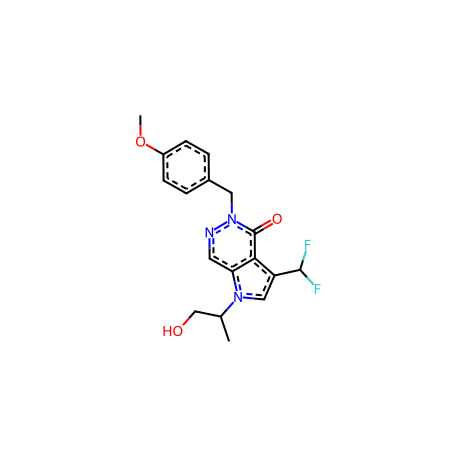 COc1ccc(Cn2ncc3c(c(C(F)F)cn3C(C)CO)c2=O)cc1